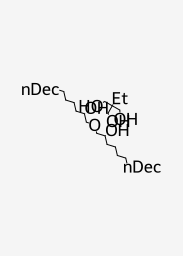 CCC(CO)(CO)CO.CCCCCCCCCCCCCCC(O)COCC(O)CCCCCCCCCCCCCC